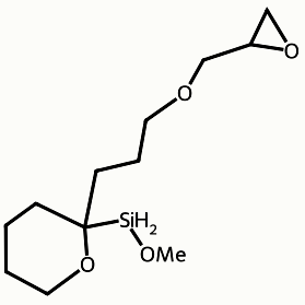 CO[SiH2]C1(CCCOCC2CO2)CCCCO1